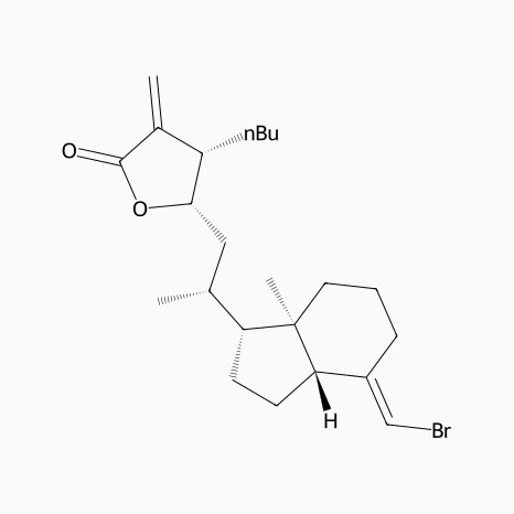 C=C1C(=O)O[C@@H](C[C@@H](C)[C@H]2CC[C@H]3/C(=C/Br)CCC[C@]23C)[C@H]1CCCC